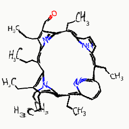 CCC1=C(C=O)c2nc1c(CC)c1c(CC)c(CC)c(c(CC)c3nc(c(CC)c4ccc([nH]4)c2CC)C=C3)n1CC